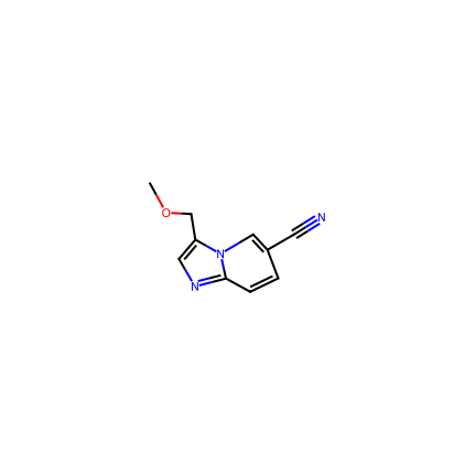 COCc1cnc2ccc(C#N)cn12